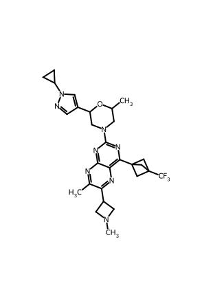 Cc1nc2nc(N3CC(C)OC(c4cnn(C5CC5)c4)C3)nc(C34CC(C(F)(F)F)(C3)C4)c2nc1C1CN(C)C1